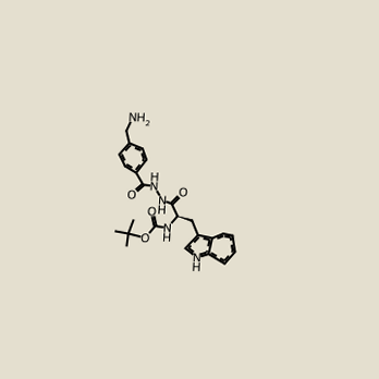 CC(C)(C)OC(=O)N[C@H](Cc1c[nH]c2ccccc12)C(=O)NNC(=O)c1ccc(CN)cc1